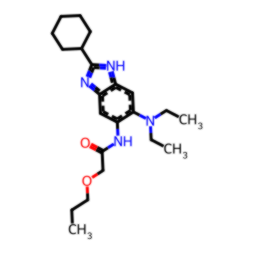 CCCOCC(=O)Nc1cc2nc(C3CCCCC3)[nH]c2cc1N(CC)CC